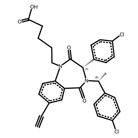 C#Cc1ccc2c(c1)C(=O)N([C@H](C)c1ccc(Cl)cc1)[C@@H](c1ccc(Cl)cc1)C(=O)N2CCCCC(=O)O